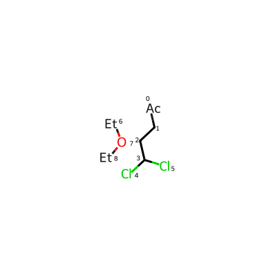 CC(=O)CCC(Cl)Cl.CCOCC